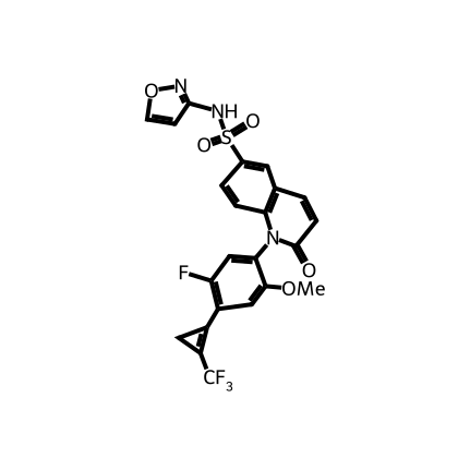 COc1cc(C2=C(C(F)(F)F)C2)c(F)cc1-n1c(=O)ccc2cc(S(=O)(=O)Nc3ccon3)ccc21